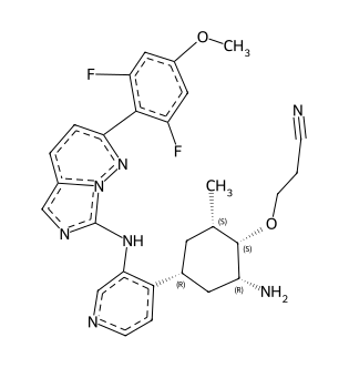 COc1cc(F)c(-c2ccc3cnc(Nc4cnccc4[C@H]4C[C@@H](N)[C@@H](OCCC#N)[C@@H](C)C4)n3n2)c(F)c1